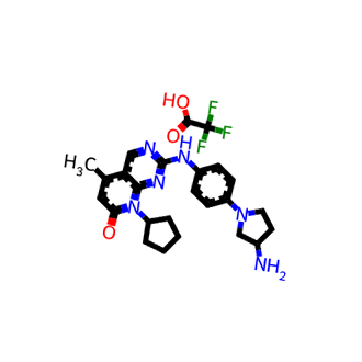 Cc1cc(=O)n(C2CCCC2)c2nc(Nc3ccc(N4CCC(N)C4)cc3)ncc12.O=C(O)C(F)(F)F